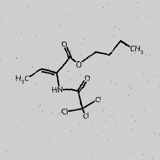 CC=C(NC(=O)C(Cl)(Cl)Cl)C(=O)OCCCC